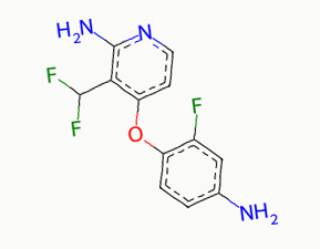 Nc1ccc(Oc2ccnc(N)c2C(F)F)c(F)c1